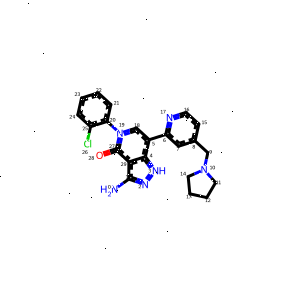 Nc1n[nH]c2c(-c3cc(CN4CCCC4)ccn3)cn(-c3ccccc3Cl)c(=O)c12